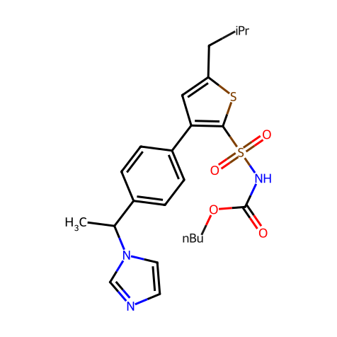 CCCCOC(=O)NS(=O)(=O)c1sc(CC(C)C)cc1-c1ccc(C(C)n2ccnc2)cc1